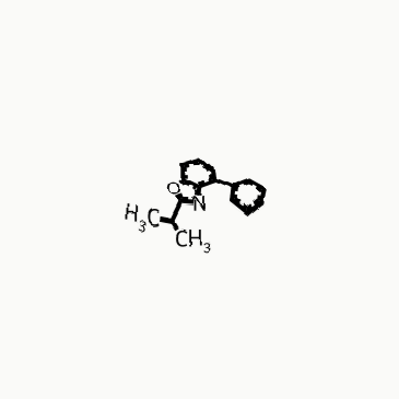 CC(C)c1nc2c(-c3ccccc3)cccc2o1